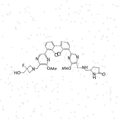 COc1nc(-c2cccc(-c3cccc(-c4cnc(CN5CC(F)(CO)C5)c(OC)n4)c3Cl)c2Cl)cnc1CNCC1CCC(=O)N1